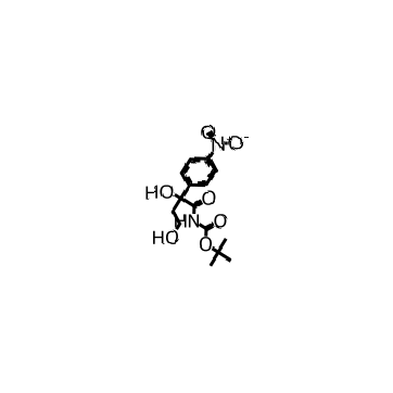 CC(C)(C)OC(=O)NC(=O)C(O)(CCO)c1ccc([N+](=O)[O-])cc1